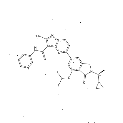 C[C@@H](C1CC1)N1Cc2cc(-c3ccn4nc(N)c(C(=O)Nc5cccnc5)c4n3)cc(OC(F)F)c2C1=O